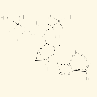 CC(C)(C)[Si](C)(C)OC[C@@]12C[C@@H]1[C@@H](n1cnc3c(N)ncnc31)[C@H](F)C2O[Si](C)(C)C(C)(C)C